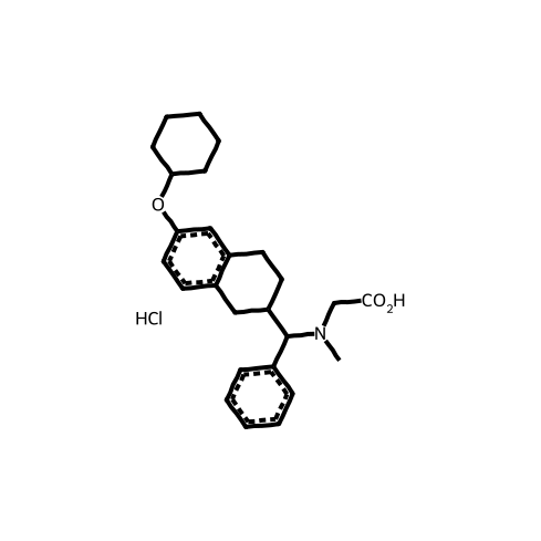 CN(CC(=O)O)C(c1ccccc1)C1CCc2cc(OC3CCCCC3)ccc2C1.Cl